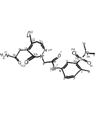 Cc1ccc(NC(=O)Cn2ncc(Cl)c(CC(N)=O)c2=O)cc1S(=O)(=O)N(C)C